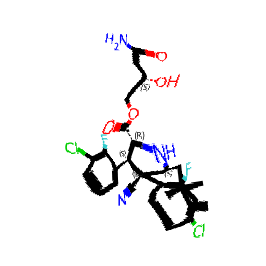 C=CC(C)(C)C[C@@H]1N[C@@H](C(=O)OC[C@@H](O)CC(N)=O)[C@H](c2cccc(Cl)c2F)[C@@]1(C#N)c1ccc(Cl)cc1F